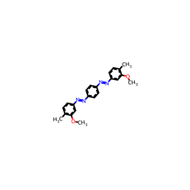 COc1cc(N=Nc2ccc(N=Nc3ccc(C)c(OC)c3)cc2)ccc1C